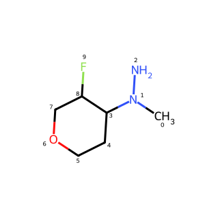 CN(N)C1CCOCC1F